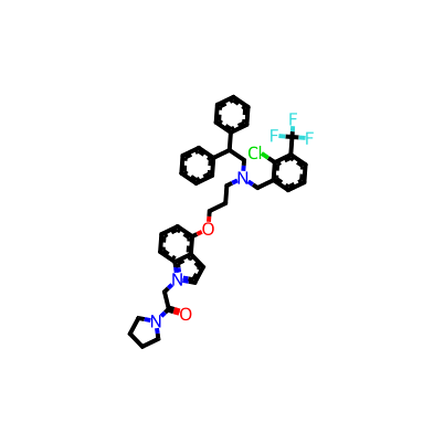 O=C(Cn1ccc2c(OCCCN(Cc3cccc(C(F)(F)F)c3Cl)CC(c3ccccc3)c3ccccc3)cccc21)N1CCCC1